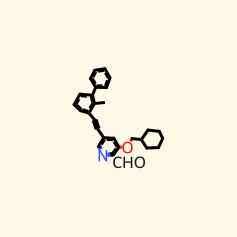 Cc1c(C#Cc2cnc(C=O)c(OCC3CCCCC3)c2)cccc1-c1ccccc1